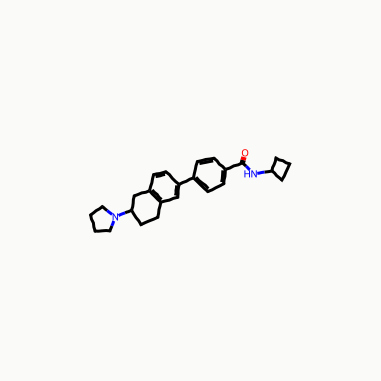 O=C(NC1CCC1)c1ccc(-c2ccc3c(c2)CCC(N2CCCC2)C3)cc1